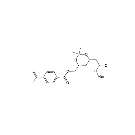 C=C(C)c1ccc(C(=O)OCC2CC(CC(=O)OC(C)(C)C)OC(C)(C)O2)cc1